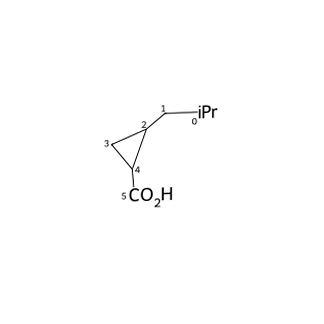 CC(C)CC1CC1C(=O)O